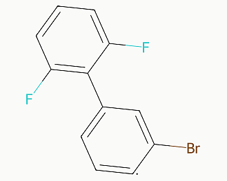 Fc1cccc(F)c1-c1cc[c]c(Br)c1